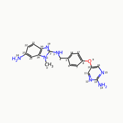 Cn1c(NCc2ccc(Oc3cnc(N)nc3)cc2)nc2ccc(N)cc21